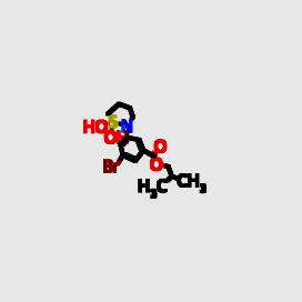 CC(C)COC(=O)c1cc(Br)cc(N2CCCCS2(O)O)c1